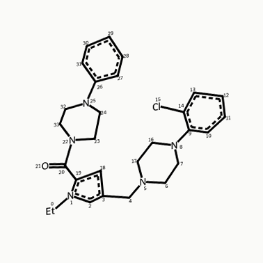 CCn1cc(CN2CCN(c3ccccc3Cl)CC2)cc1C(=O)N1CCN(c2ccccc2)CC1